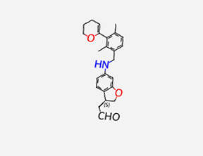 Cc1ccc(CNc2ccc3c(c2)OC[C@H]3CC=O)c(C)c1C1=CCCCO1